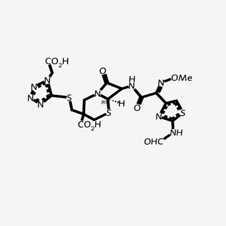 CON=C(C(=O)NC1C(=O)N2CC(CSc3nnnn3CC(=O)O)(C(=O)O)CS[C@H]12)c1csc(NC=O)n1